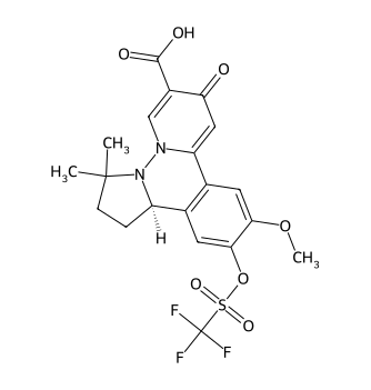 COc1cc2c(cc1OS(=O)(=O)C(F)(F)F)[C@H]1CCC(C)(C)N1n1cc(C(=O)O)c(=O)cc1-2